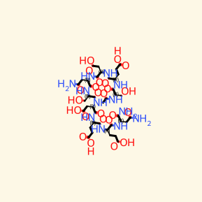 CC(=O)N[C@H](CO)C(=O)N[C@H](CCC(=O)O)C(=O)N[C@H](CC(=O)O)C(=O)N[C@H](CC(N)=O)C(=O)N[C@H](CO)C(=O)N[C@H](CC(=O)O)C(=O)N[C@H](CCC(=O)O)C(=O)N[C@H](CCC(=O)O)C(=O)N[C@H](CC(N)=O)C(N)=O